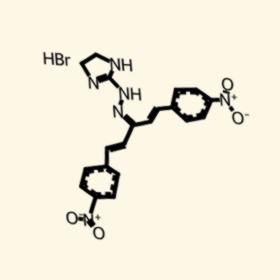 Br.O=[N+]([O-])c1ccc(C=CC(C=Cc2ccc([N+](=O)[O-])cc2)=NNC2=NCCN2)cc1